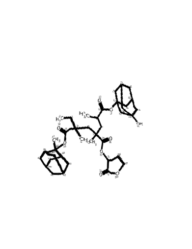 CCC(C)(CC(C)(CC(C)C(=O)OC12CC3CC(CC(O)(C3)C1)C2)C(=O)OC1CCOC1=O)C(=O)OC1(C)C2CC3CC(C2)CC1C3